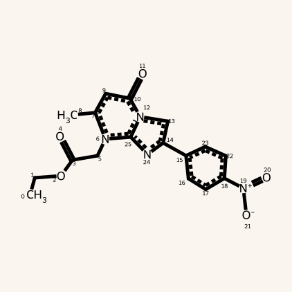 CCOC(=O)Cn1c(C)cc(=O)n2cc(-c3ccc([N+](=O)[O-])cc3)nc12